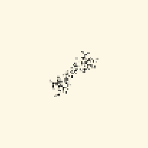 CCOC(=O)[C@@H](CC(C)(C)COS(=O)(=O)CCCS(=O)(=O)OCC(C)(C)C[C@@H](NC(=O)[C@@H](N)C(C)C)C(=O)OCC)NC(=O)[C@@H](N)C(C)C